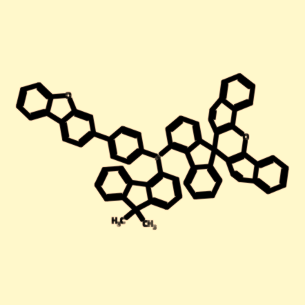 CC1(C)c2ccccc2-c2c(N(c3ccc(-c4ccc5c(c4)oc4ccccc45)cc3)c3cccc4c3-c3ccccc3C43c4ccc5ccccc5c4Oc4c3ccc3ccccc43)cccc21